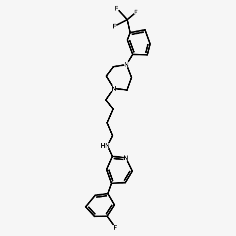 Fc1cccc(-c2ccnc(NCCCCN3CCN(c4cccc(C(F)(F)F)c4)CC3)c2)c1